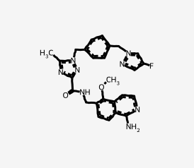 COc1c(CNC(=O)c2nc(C)n(Cc3ccc(Cn4cc(F)cn4)cc3)n2)ccc2c(N)nccc12